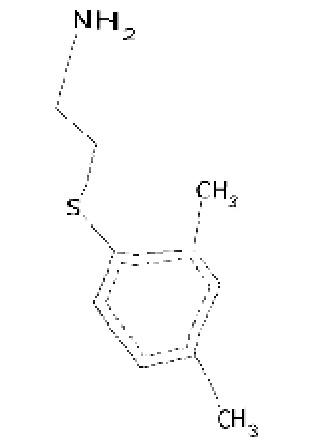 Cc1ccc(SCCN)c(C)c1